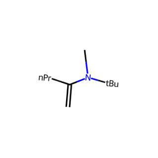 C=C(CCC)N(C)C(C)(C)C